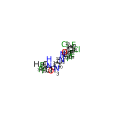 CC(C)(NC(=O)c1cc2c(cn1)CN(C1=NOC(c3cc(Cl)c(F)c(Cl)c3)(C(F)(F)F)C1)C2)C(F)(F)F